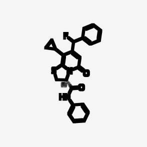 O=C(Nc1ccccc1)[C@@H]1CSc2c(C3CC3)c(C(F)c3ccccc3)cc(=O)n21